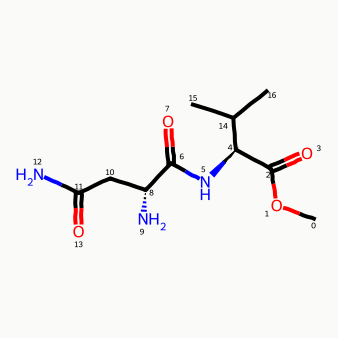 COC(=O)[C@@H](NC(=O)[C@H](N)CC(N)=O)C(C)C